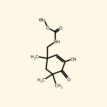 CC1(CNC(=O)OC(C)(C)C)C=C(C#N)C(=O)C(C)(C)C1